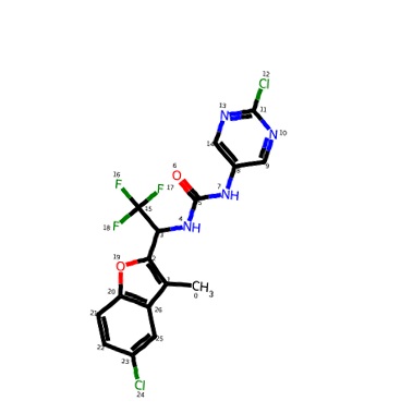 Cc1c(C(NC(=O)Nc2cnc(Cl)nc2)C(F)(F)F)oc2ccc(Cl)cc12